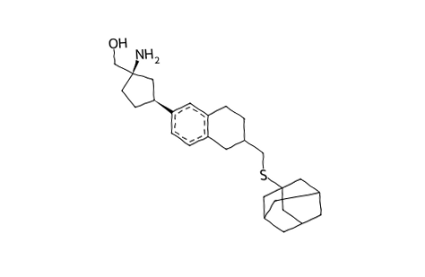 N[C@]1(CO)CC[C@H](c2ccc3c(c2)CCC(CSC24CC5CC(CC(C5)C2)C4)C3)C1